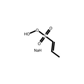 CC=CS(=O)(=O)OO.[NaH]